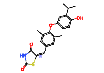 Cc1cc(/C=C2/SC(=O)NC2=O)cc(C)c1Oc1ccc(O)c(C(C)C)c1